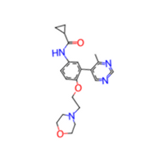 Cc1ncncc1-c1cc(NC(=O)C2CC2)ccc1OCCN1CCOCC1